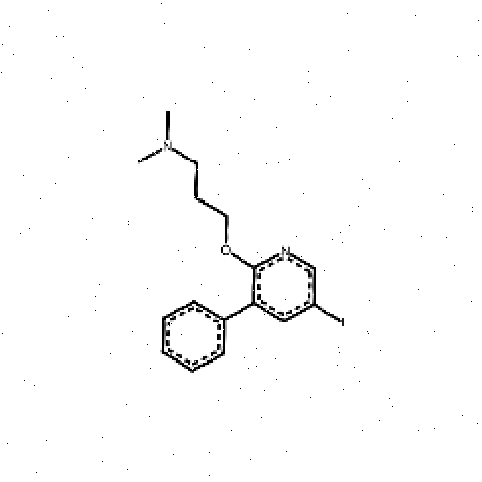 CN(C)CCCOc1ncc(I)cc1-c1ccccc1